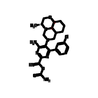 C[C@@H]1COCCN1CN(CC1CCCCC1)c1c(N)nc(C(=N)OC(N)=O)nc1-c1cccc(Cl)c1